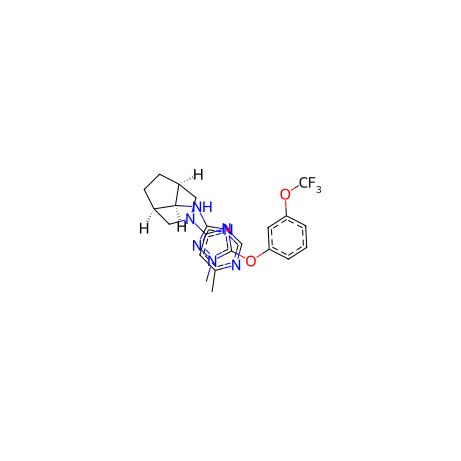 Cc1cc(N2C[C@H]3CC[C@@H](C2)[C@H]3Nc2nc(Oc3cccc(OC(F)(F)F)c3)n(C)n2)ncn1